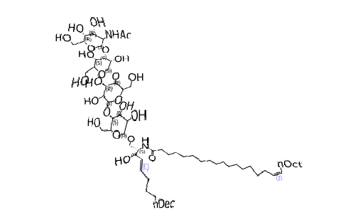 CCCCCCCC/C=C\CCCCCCCCCCCCCCCC(=O)N[C@@H](CO[C@@H]1OC(CO)[C@@H](O[C@@H]2OC(CO)[C@H](O[C@@H]3OC(CO)[C@H](O)[C@H](O[C@@H]4OC(CO)[C@H](O)[C@H](O)C4NC(C)=O)C3O)[C@H](O)C2O)[C@H](O)C1O)[C@H](O)/C=C/CCCCCCCCCCCCC